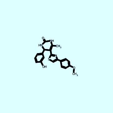 COc1ccc(-c2csc(C3=C(C)NC(=O)NC3c3cccc(O)c3)n2)cc1